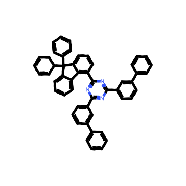 C1=CCC(C2(c3ccccc3)c3ccccc3-c3c(-c4nc(-c5cccc(-c6ccccc6)c5)nc(-c5cccc(-c6ccccc6)c5)n4)cccc32)C=C1